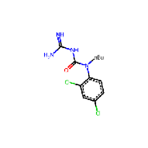 CCCCN(C(=O)NC(=N)N)c1ccc(Cl)cc1Cl